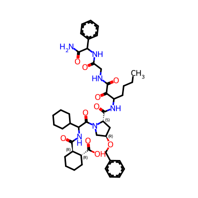 CCCCC(NC(=O)[C@@H]1C[C@@H](OCc2ccccc2)CN1C(=O)C(NC(=O)[C@@H]1CCCC[C@H]1C(=O)O)C1CCCCC1)C(=O)C(=O)NCC(=O)NC(C(N)=O)c1ccccc1